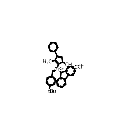 CC1=[C](/[Zr+2](=[CH]/c2ccc(C(C)(C)C)cc2)[CH]2c3ccccc3-c3ccccc32)C(C)C=C1c1ccccc1.[Cl-].[Cl-]